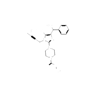 CC#CCn1c(N2CCN(C(=O)OC(C)(C)C)CC2)nc(C(O)c2ccccc2)c1C(=O)OCC